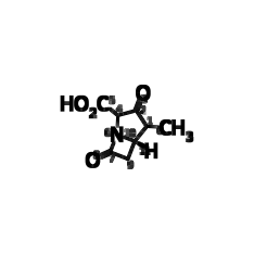 CC1C(=O)C(C(=O)O)N2C(=O)C[C@@H]12